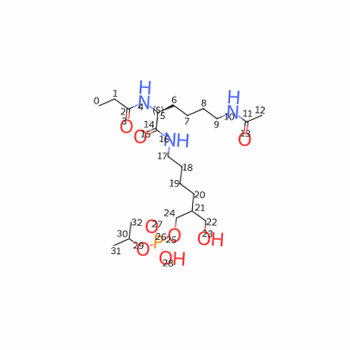 CCC(=O)N[C@@H](CCCCNC(C)=O)C(=O)NCCCCC(CO)COP(=O)(O)OC(C)C